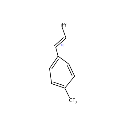 CC(C)/C=C/c1ccc(C(F)(F)F)cc1